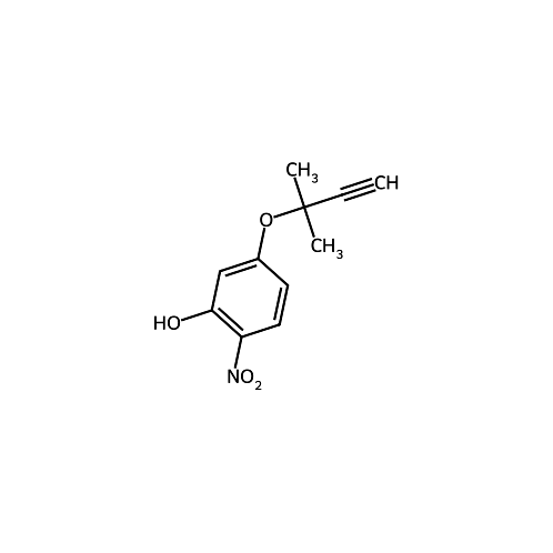 C#CC(C)(C)Oc1ccc([N+](=O)[O-])c(O)c1